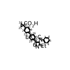 CCOC(=O)N(c1ccccc1)c1c(CC)noc1-c1ccc(-c2ccc(C3(C(=O)O)CC3)cc2)cc1